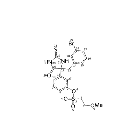 COCCS(=O)(=O)Oc1cccc(C2(Cc3cccc(Br)c3)NC(=S)NC2=O)c1